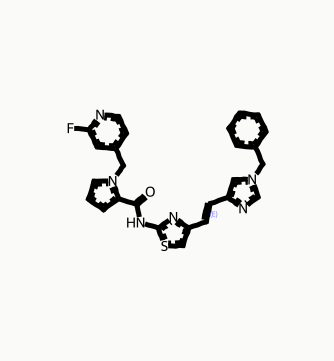 O=C(Nc1nc(/C=C/c2cn(Cc3ccccc3)cn2)cs1)c1cccn1Cc1ccnc(F)c1